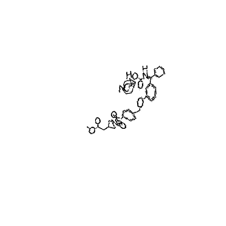 COC(=O)CC1CN(S(=O)(=O)c2ccc(COc3cccc([C@@H](NC(=O)O[C@H]4CN5CCC4CC5)c4ccccc4)c3)cc2)C1